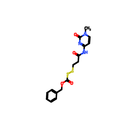 Cn1ccc(NC(=O)CCSSC(=O)OCc2ccccc2)nc1=O